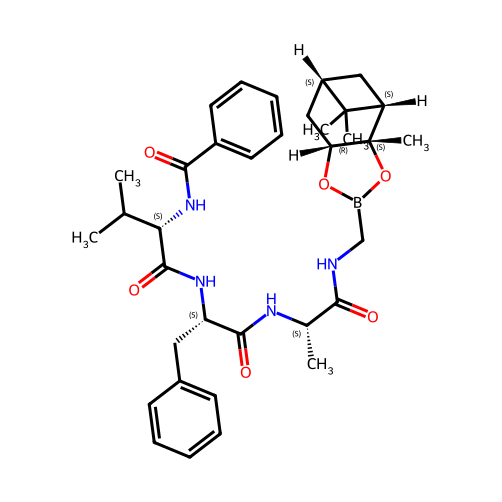 CC(C)[C@H](NC(=O)c1ccccc1)C(=O)N[C@@H](Cc1ccccc1)C(=O)N[C@@H](C)C(=O)NCB1O[C@@H]2C[C@@H]3C[C@@H](C3(C)C)[C@]2(C)O1